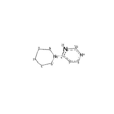 [CH]1CCCCN1c1ccncn1